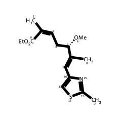 CCOC(=O)/C(C)=C\C[C@H](OC)/C(C)=C/c1csc(C)n1